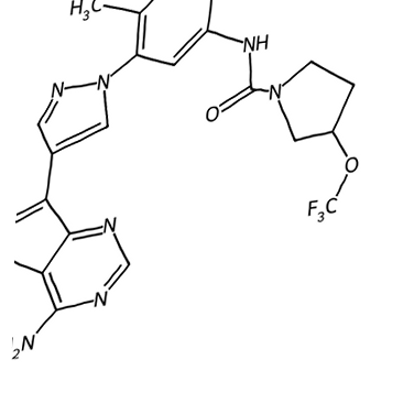 Cc1ccc(NC(=O)N2CCC(OC(F)(F)F)C2)cc1-n1cc(-c2csc3c(N)ncnc23)cn1